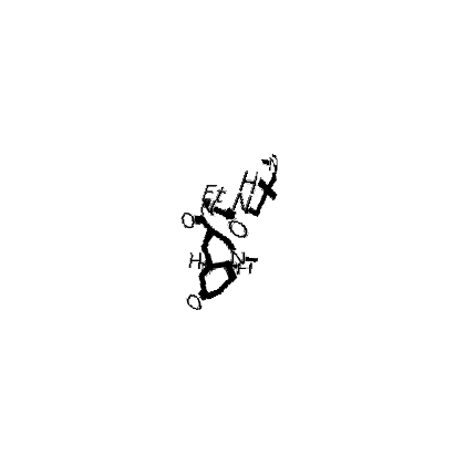 CCN(C(=O)NCC(C)(C)CN(C)C)C(=O)C1C[C@@H]2CC(=O)CC[C@H]2N(C)C1